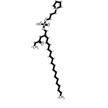 CCCCCCCCCCCCCCCCCCC(COP(=O)(O)OCCCN1CCCC1)CC(=O)CC